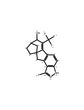 OC1C(C(F)(F)F)=C2c3ccc4[nH]nc(F)c4c3CC23CCC1C3